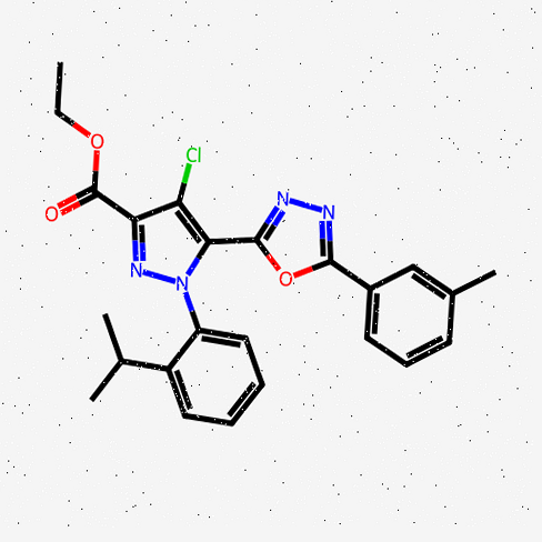 CCOC(=O)c1nn(-c2ccccc2C(C)C)c(-c2nnc(-c3cccc(C)c3)o2)c1Cl